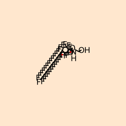 O=S(=O)(NCCO)C1(F)C(F)(F)C(F)(F)C(F)(C(F)(F)C(F)(F)C(F)(F)C(F)(F)C(F)(F)C(F)(F)C(F)(F)C(F)(F)C(F)(F)C(F)(F)C(F)(F)C(F)(F)F)C(F)(F)C1(F)F